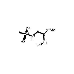 CO[C@H](CNS(C)(=O)=O)OC(C)C